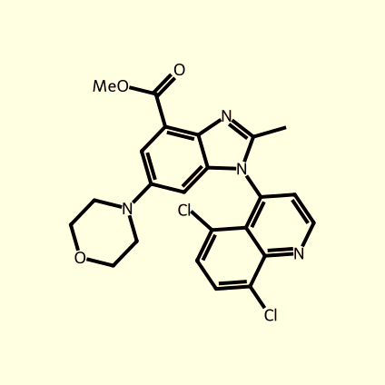 COC(=O)c1cc(N2CCOCC2)cc2c1nc(C)n2-c1ccnc2c(Cl)ccc(Cl)c12